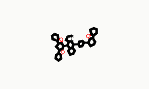 c1ccc2c(c1)oc1c(-c3ccc(-c4c5ccccc5c(-c5c6oc7ccccc7c6cc6c5oc5ccccc56)c5ccccc45)cc3)cccc12